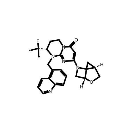 O=c1cc(N2C[C@H]3OC[C@@H]4CC432)nc2n1CC[C@@H](C(F)(F)F)N2Cc1cccc2ncccc12